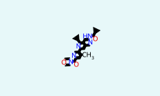 Cc1cc(C(=O)N2CCOCC2)ncc1-c1cc2cnc(NC(=O)C3CC3)cc2c(C2CC2)n1